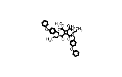 CCCN(Cc1ccc(Oc2ccccc2)cc1)C(=O)C1C(C(N)=O)C(C(=O)OC)C1C(=O)N(CCC)Cc1ccc(Oc2ccccc2)cc1